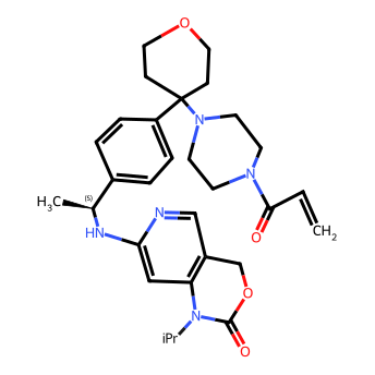 C=CC(=O)N1CCN(C2(c3ccc([C@H](C)Nc4cc5c(cn4)COC(=O)N5C(C)C)cc3)CCOCC2)CC1